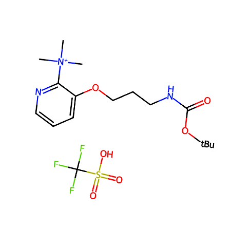 CC(C)(C)OC(=O)NCCCOc1cccnc1[N+](C)(C)C.O=S(=O)(O)C(F)(F)F